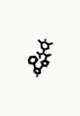 CC1CC(N(C(=O)c2csc(-c3c[nH]nc3-c3ccccc3)n2)C(C)C)CC(C)N1